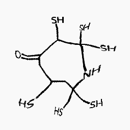 O=C1C(S)C(S)(S)NC(S)(S)C1S